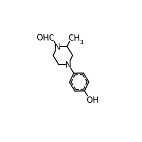 CC1CN(c2ccc(O)cc2)CCN1C=O